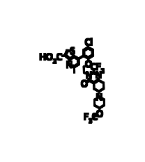 Cc1cc(-c2cc(Cl)ccc2OCCn2c(C(F)(F)F)nc3c(c2=O)CC(N2CCC(OC(F)(F)F)CC2)CC3)c2scc(C(=O)O)c2n1